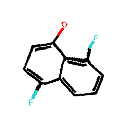 [O]c1ccc(F)c2cccc(F)c12